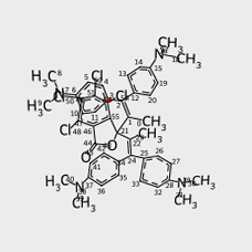 CC(=C(c1ccc(N(C)C)cc1)c1ccc(N(C)C)cc1)C1(C(C)=C(c2ccc(N(C)C)cc2)c2ccc(N(C)C)cc2)OC(=O)c2c(Cl)c(Cl)c(Cl)c(Cl)c21